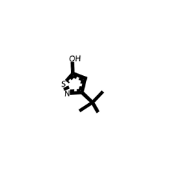 CC(C)(C)c1cc(O)sn1